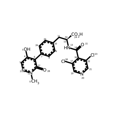 Cn1ncc(O)c(-c2ccc(C[C@H](NC(=O)c3c(Cl)cncc3Cl)C(=O)O)cc2)c1=O